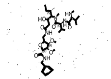 CC[C@H](C)C([C@H](O)CC(=O)NCC1O[C@@H](C(=O)NCc2ccccc2)[C@@H](OC)[C@@H]1OC)N(C)C(=O)[C@@H](NC(=O)[C@@H](NC)C(C)C)C(C)C